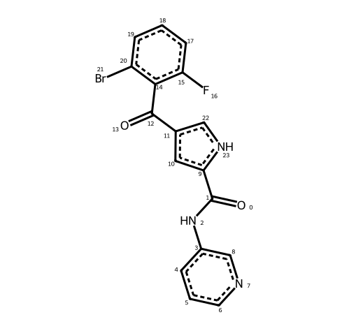 O=C(Nc1cccnc1)c1cc(C(=O)c2c(F)cccc2Br)c[nH]1